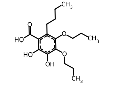 CCCCc1c(OCCC)c(OCCC)c(O)c(O)c1C(=O)O